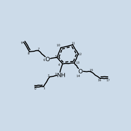 C=CCNc1c(OCC=C)cccc1OCC=C